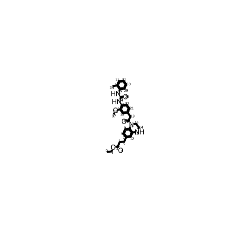 CCOC(=O)CCc1ccc2c(c1)NCCN2C(=O)Cc1ccc(NC(=O)Nc2ccccc2C)c(OC)c1